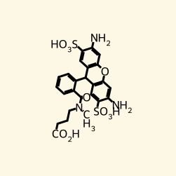 CN(CCCC(=O)O)C(=O)c1ccccc1C1c2cc(S(=O)(=O)O)c(N)cc2Oc2cc(N)c(S(=O)(=O)O)cc21